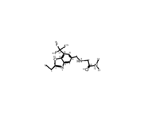 CCc1nc2cc(CNCC(=O)N(C)C)cc(C(F)(F)F)c2o1